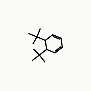 CC(C)(C)C1C=CC=CC1C(C)(C)C